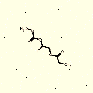 CCC(=O)OCC(F)OC(=O)OC